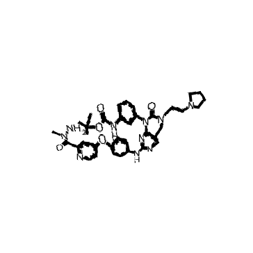 CN(N)C(=O)c1cc(Oc2ccc(Nc3ncc4c(n3)N(c3cccc(NC(=O)OC(C)(C)C)c3)C(=O)N(CCN3CCCC3)C4)cc2)ccn1